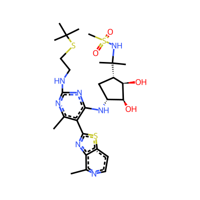 Cc1nc(NCCSC(C)(C)C)nc(N[C@@H]2C[C@H](C(C)(C)NS(C)(=O)=O)[C@@H](O)[C@H]2O)c1-c1nc2c(C)nccc2s1